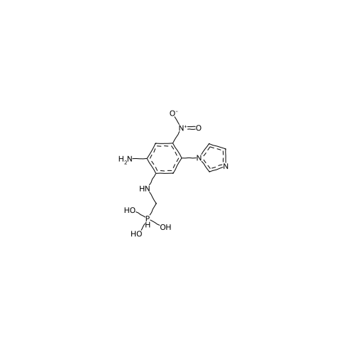 Nc1cc([N+](=O)[O-])c(-n2ccnc2)cc1NC[PH](O)(O)O